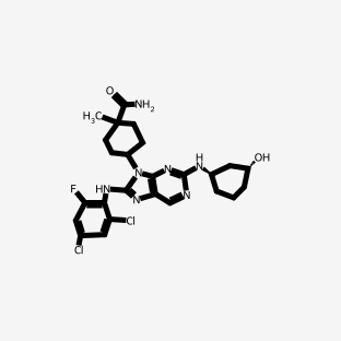 CC1(C(N)=O)CCC(n2c(Nc3c(F)cc(Cl)cc3Cl)nc3cnc(N[C@@H]4CCC[C@@H](O)C4)nc32)CC1